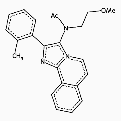 COCCN(C(C)=O)c1c(-c2ccccc2C)nc2c3ccccc3ccn12